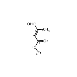 CCOC(=O)C=C(C)C=O